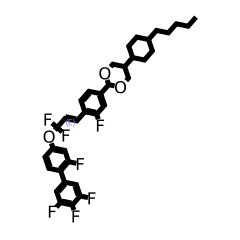 CCCCCC1CCC(C2COC(c3ccc(/C=C/C(F)(F)Oc4ccc(-c5cc(F)c(F)c(F)c5)c(F)c4)c(F)c3)OC2)CC1